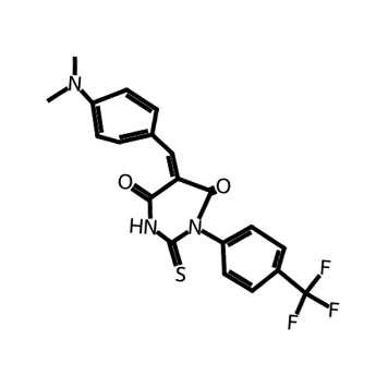 CN(C)c1ccc(C=C2C(=O)NC(=S)N(c3ccc(C(F)(F)F)cc3)C2=O)cc1